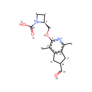 Cc1nc(OC[C@@H]2CCN2C(=O)O)c(C)c2c1CC(C=O)C2